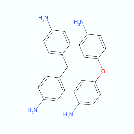 Nc1ccc(Cc2ccc(N)cc2)cc1.Nc1ccc(Oc2ccc(N)cc2)cc1